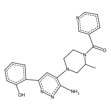 CC1CN(c2cc(-c3ccccc3O)nnc2N)CCN1C(=O)c1cccnc1